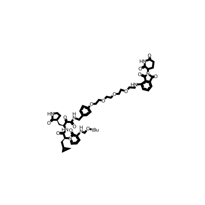 CC(C)(C)OCNc1cccn([C@@H](CC2CC2)C(=O)N[C@@H](C[C@@H]2CCNC2=O)C(=O)C(=O)NCc2ccc(OCCOCCOCCOCCNc3cccc4c3C(=O)N(C3CCC(=O)NC3=O)C4=O)cc2)c1=O